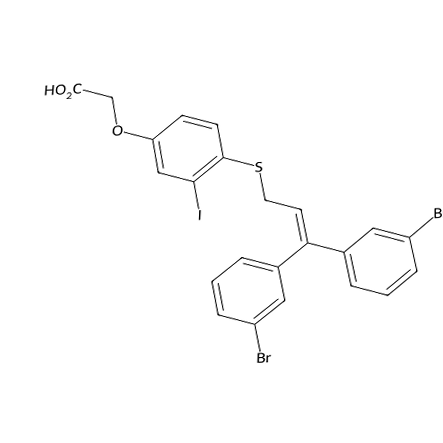 O=C(O)COc1ccc(SCC=C(c2cccc(Br)c2)c2cccc(Br)c2)c(I)c1